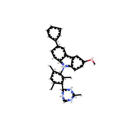 COc1ccc2c(c1)c1cc(-c3ccccc3)ccc1n2-c1c(C)cc(C)c(-c2ncnc(C)n2)c1C